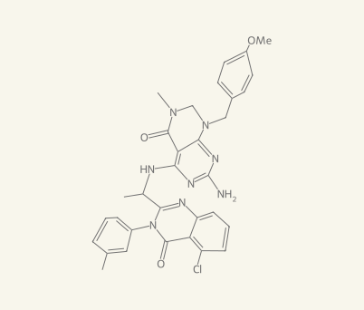 COc1ccc(CN2CN(C)C(=O)c3c(NC(C)c4nc5cccc(Cl)c5c(=O)n4-c4cccc(C)c4)nc(N)nc32)cc1